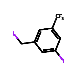 FC(F)(F)c1cc(I)cc(CI)c1